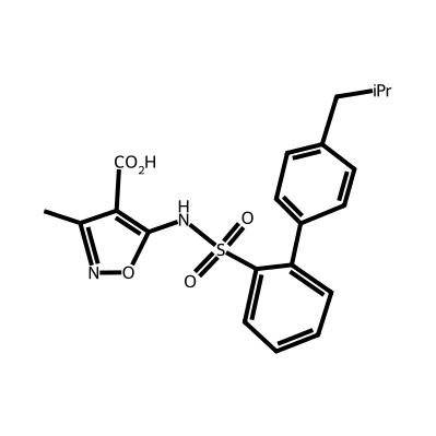 Cc1noc(NS(=O)(=O)c2ccccc2-c2ccc(CC(C)C)cc2)c1C(=O)O